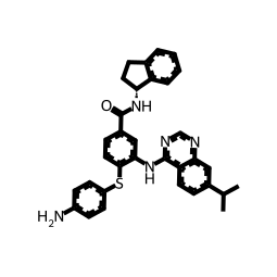 CC(C)c1ccc2c(Nc3cc(C(=O)N[C@@H]4CCc5ccccc54)ccc3Sc3ccc(N)cc3)ncnc2c1